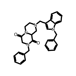 O=C1C2CN(Cc3cn(Cc4ccccc4)c4ccccc34)CCN2C(=O)CN1Cc1ccccc1